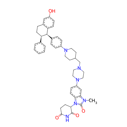 Cn1c(=O)n(C2CCC(=O)NC2=O)c2ccc(N3CCN(CC4CCN(c5ccc([C@@H]6c7ccc(O)cc7CC[C@@H]6c6ccccc6)cc5)CC4)CC3)cc21